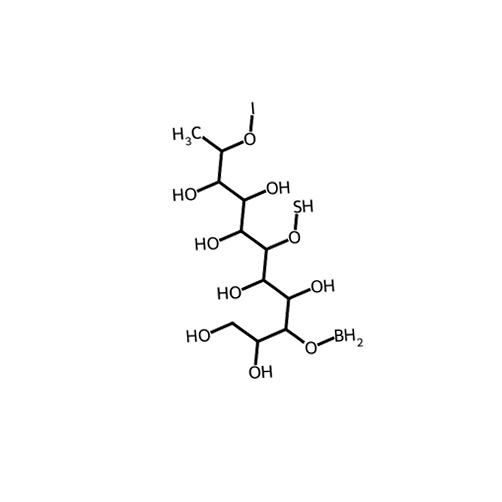 BOC(C(O)CO)C(O)C(O)C(OS)C(O)C(O)C(O)C(C)OI